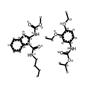 CCCCNC(=O)n1c(NC(=O)OC)nc2ccccc21.CCOc1ccc(NC(=O)OC(C)C)cc1OCC